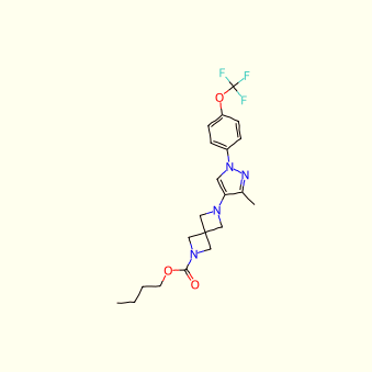 CCCCOC(=O)N1CC2(C1)CN(c1cn(-c3ccc(OC(F)(F)F)cc3)nc1C)C2